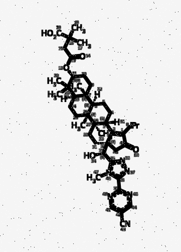 CC(C)C1=C2[C@H]3CC[C@@H]4[C@@]5(C)CC[C@H](OC(=O)CC(C)(C)C(=O)O)C(C)(C)[C@@H]5CC[C@@]4(C)[C@]3(C)CC[C@@]2([C@H](O)c2nnc(-c3ncc(C#N)cn3)n2C)CC1=O